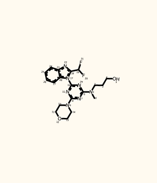 CN(CCCO)c1nc(N2CCOCC2)nc(-n2c(C(F)F)nc3ccccc32)n1